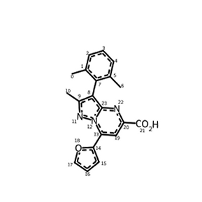 Cc1cccc(C)c1-c1c(C)nn2c(-c3ccco3)cc(C(=O)O)nc12